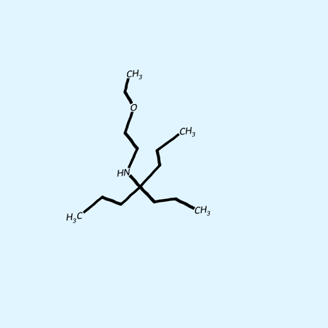 CCCC(CCC)(CCC)NCCOCC